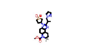 COC(=O)N1c2ccc3c(nc(C(C)Cn4cccn4)n3C3CCS(=O)(=O)C3)c2CC[C@@H]1C